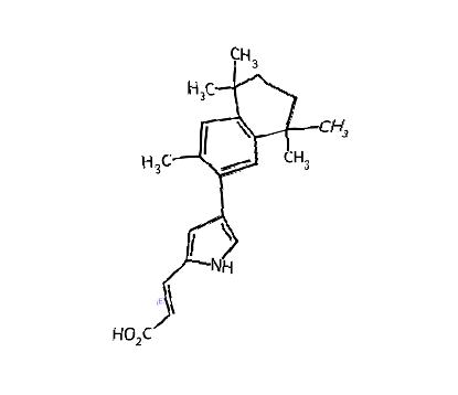 Cc1cc2c(cc1-c1c[nH]c(/C=C/C(=O)O)c1)C(C)(C)CCC2(C)C